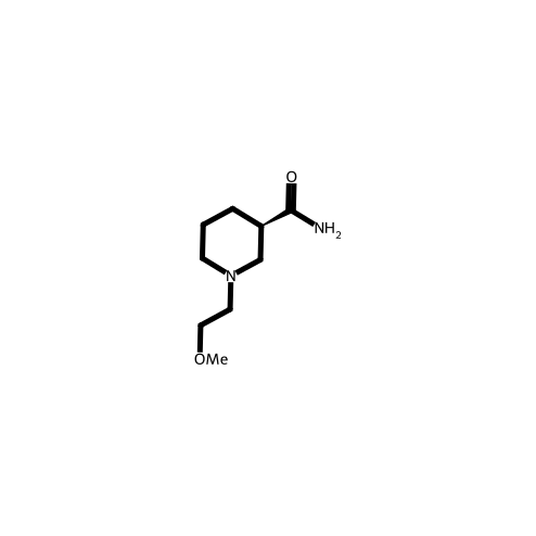 COCCN1CCC[C@@H](C(N)=O)C1